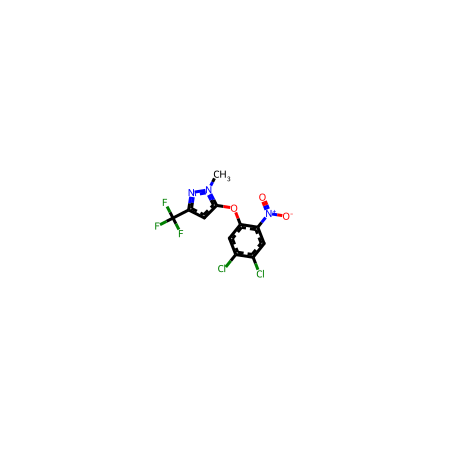 Cn1nc(C(F)(F)F)cc1Oc1cc(Cl)c(Cl)cc1[N+](=O)[O-]